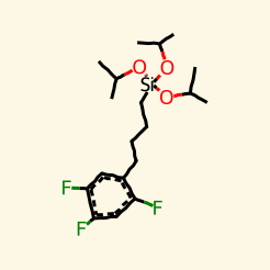 CC(C)O[Si](CCCCc1cc(F)c(F)cc1F)(OC(C)C)OC(C)C